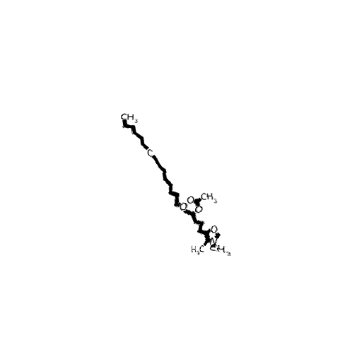 CCCCCCCCCCCCCCCCOCC(C[CH]CC1=C(C)N(C)CO1)OC(C)=O